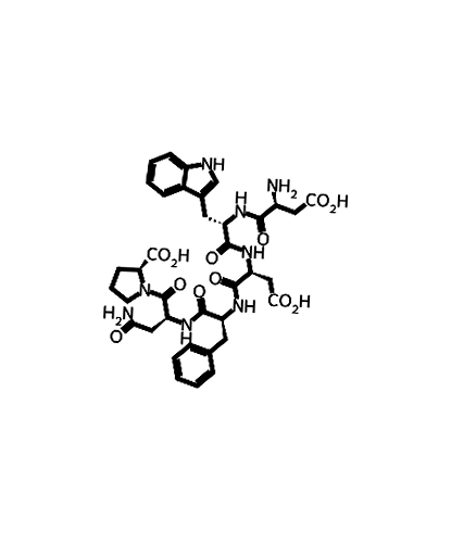 NC(=O)C[C@H](NC(=O)[C@H](Cc1ccccc1)NC(=O)[C@H](CC(=O)O)NC(=O)[C@H](Cc1c[nH]c2ccccc12)NC(=O)[C@@H](N)CC(=O)O)C(=O)N1CCC[C@H]1C(=O)O